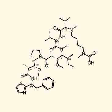 CC[C@H](C)[C@@H]([C@@H](CC(=O)N1CCC[C@H]1[C@H](OC)[C@@H](C)C(=O)N[C@@H](Cc1ccccc1)c1nccs1)OC)N(C)C(=O)[C@@H](NC(=O)[C@H](C(C)C)N(C)CCCCN(C)C(=O)O)C(C)C